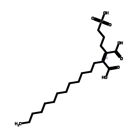 CCCCCCCCCCCCC/C(C(=O)O)=C(\CCCS(=O)(=O)O)C(=O)O